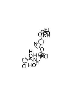 CCS(=O)(=O)NC(=O)c1ccc2c(Oc3ccc(C[C@@H](CO)NC[C@@H](O)c4cccc(Cl)c4)cc3)ccnc2c1.Cl.Cl